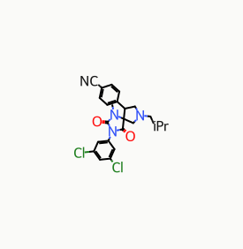 CC(C)CN1CC(c2ccc(C#N)cc2)C2(C1)C(=O)N(c1cc(Cl)cc(Cl)c1)C(=O)N2C